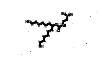 CCN(CC)CCNC(=O)OC(CCCCCCO)CCCCCCO